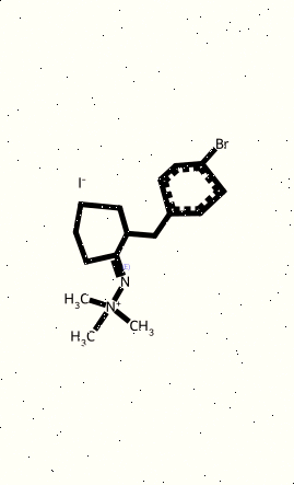 C[N+](C)(C)/N=C1\CCCCC1Cc1ccc(Br)cc1.[I-]